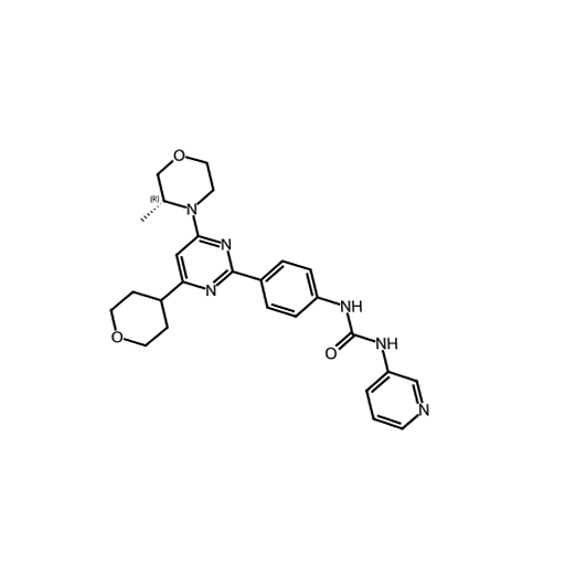 C[C@@H]1COCCN1c1cc(C2CCOCC2)nc(-c2ccc(NC(=O)Nc3cccnc3)cc2)n1